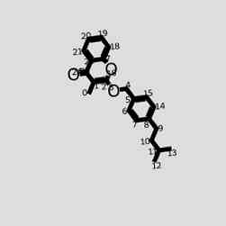 Cc1c(OCc2ccc(CCC(C)C)cc2)oc2ccccc2c1=O